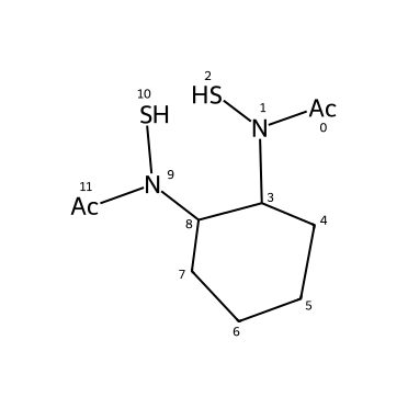 CC(=O)N(S)C1CCCCC1N(S)C(C)=O